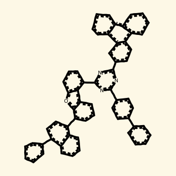 c1ccc(-c2ccc(-c3nc(-c4ccc5c6ccccc6c6ccccc6c5c4)nc(-c4cccc5oc6c(-c7ccc(-c8ccccc8)c8ccccc78)cccc6c45)n3)cc2)cc1